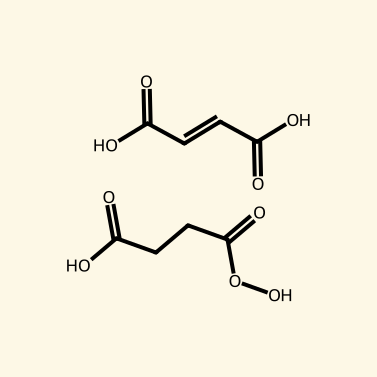 O=C(O)C=CC(=O)O.O=C(O)CCC(=O)OO